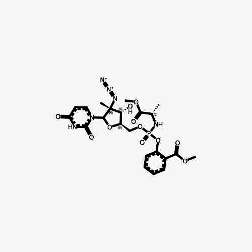 COC(=O)c1ccccc1OP(=O)(N[C@@H](C)C(=O)OC)OC[C@H]1OC(n2ccc(=O)[nH]c2=O)[C@](C)(N=[N+]=[N-])[C@@H]1O